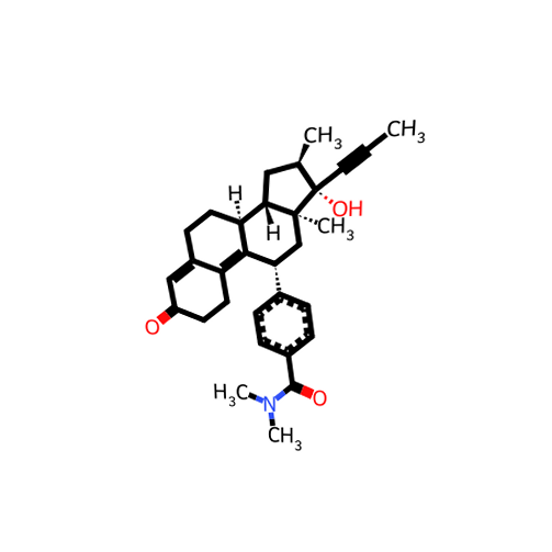 CC#C[C@]1(O)[C@H](C)C[C@H]2[C@@H]3CCC4=CC(=O)CCC4=C3[C@@H](c3ccc(C(=O)N(C)C)cc3)C[C@@]21C